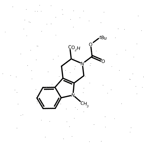 Cn1c2c(c3ccccc31)CC(C(=O)O)N(C(=O)OC(C)(C)C)C2